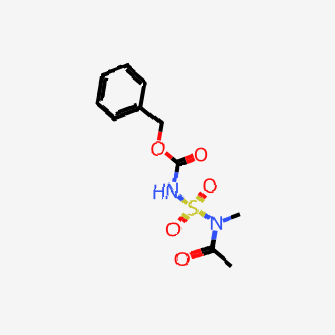 CC(=O)N(C)S(=O)(=O)NC(=O)OCc1ccccc1